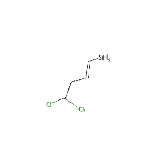 [SiH3]C=CCC(Cl)Cl